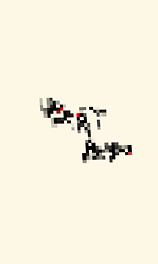 COc1cc(NC(=O)CCCc2ccc(-c3ccccc3)c(N(C(=O)O)C3CCC(NC(=O)OCc4ccccc4)CC3)c2)c(Cl)cc1CNC[C@H](O[Si](C)(C)C(C)(C)C)c1ccc(O)c2[nH]c(=O)ccc12